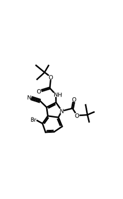 CC(C)(C)OC(=O)Nc1c(C#N)c2c(Br)cccc2n1C(=O)OC(C)(C)C